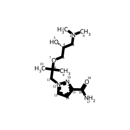 CN(C)C[C@@H](O)COC(C)(C)Cn1ccc(C(N)=O)n1